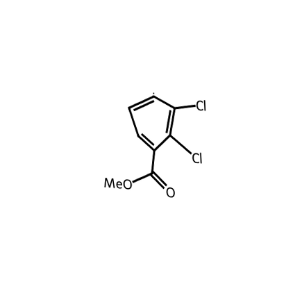 COC(=O)c1cc[c]c(Cl)c1Cl